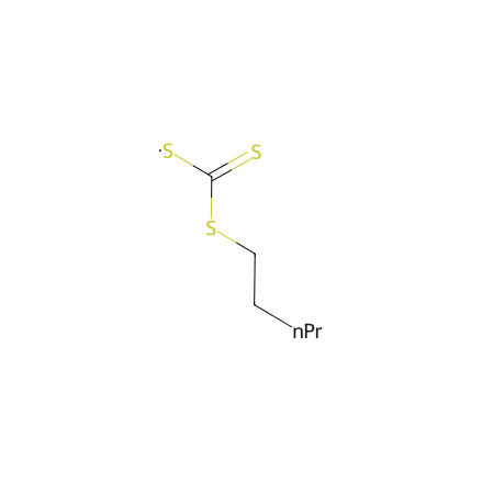 CCCCCSC([S])=S